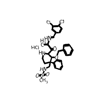 CC(NCc1ccc(Cl)c(Cl)c1)C(=O)C1NCCC(CNS(C)(=O)=O)(c2ccccc2)C1OCc1ccccc1.Cl